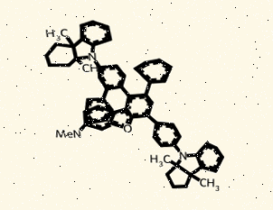 CNc1ccc2c(c1)oc1c(-c3ccc(N4c5ccccc5C5(C)CCCC45C)cc3)cc(-c3ccccc3)c(-c3ccc(N4c5ccccc5C5(C)CCCCC45C)cc3-c3ccccc3)c12